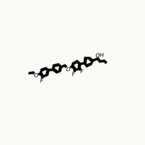 CCCC(O)c1ccc(-c2ccc(OCc3ccc(-c4ccc(OCC)c(F)c4)cc3)c(F)c2F)cc1